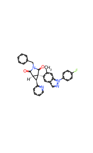 Cc1cc2c(cnn2-c2ccc(F)cc2)cc1[C@@]12C(=O)N(Cc3ccccc3)C(=O)[C@@H]1[C@@H]2c1ccccn1